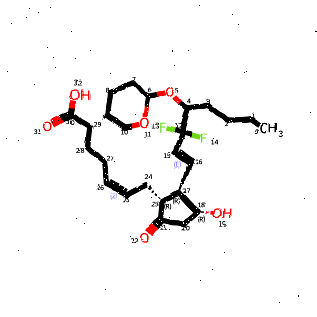 CCCCC(OC1CCCCO1)C(F)(F)/C=C/[C@H]1[C@H](O)CC(=O)[C@@H]1C/C=C\CCCC(=O)O